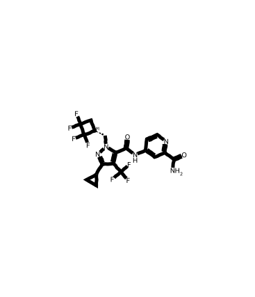 NC(=O)c1cc(NC(=O)c2c(C(F)(F)F)c(C3CC3)nn2C[C@H]2CC(F)(F)C2(F)F)ccn1